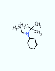 CC(C)(C)N(C[SiH3])C1CCCCC1